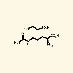 NC(=O)NCCCC(N)C(=O)O.NCCS(=O)(=O)O